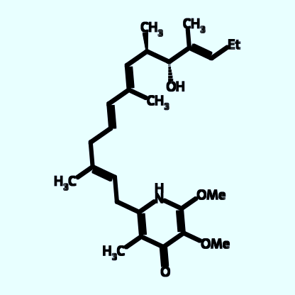 CC/C=C(\C)[C@H](O)[C@H](C)/C=C(C)/C=C/C/C(C)=C/Cc1[nH]c(OC)c(OC)c(=O)c1C